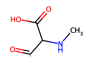 CNC([C]=O)C(=O)O